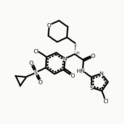 O=C(Nc1ncc(Cl)s1)[C@@H](CC1CCOCC1)n1cc(Cl)c(S(=O)(=O)C2CC2)cc1=O